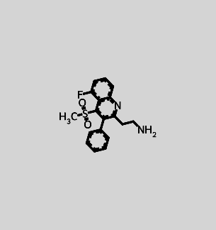 CS(=O)(=O)c1c(-c2ccccc2)c(CCN)nc2cccc(F)c12